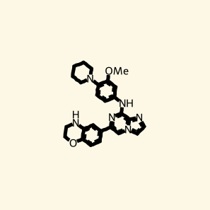 COc1cc(Nc2nc(-c3ccc4c(c3)NCCO4)cn3ccnc23)ccc1N1CCCCC1